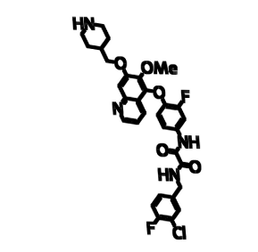 COc1c(OCC2CCNCC2)cc2ncccc2c1Oc1ccc(NC(=O)C(=O)NCc2ccc(F)c(Cl)c2)cc1F